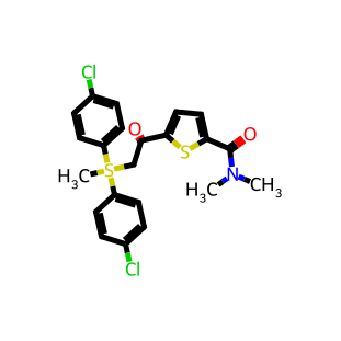 CN(C)C(=O)c1ccc(C(=O)CS(C)(c2ccc(Cl)cc2)c2ccc(Cl)cc2)s1